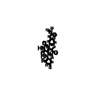 CC1C(=O)N(C)C(Nc2ccc(I)cc2F)c2c1n(-c1cccc(CC(=O)N(C)C)c1)c(=O)[nH]c2=O